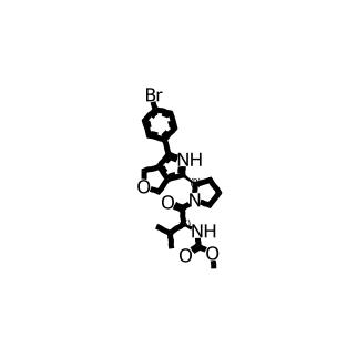 COC(=O)N[C@H](C(=O)N1CCC[C@@H]1c1[nH]c(-c2ccc(Br)cc2)c2c1COC2)C(C)C